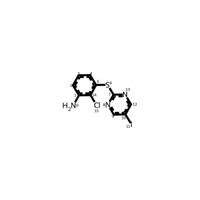 Nc1cccc(Sc2ncc(I)cn2)c1Cl